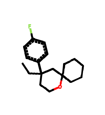 CCC1(c2ccc(F)cc2)CCOC2(CCCCC2)C1